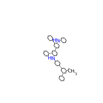 Cc1cc(-c2ccccc2)cc(-c2ccc(Nc3ccc(-c4ccc(Nc5ccccc5)c(-c5ccccc5)c4)cc3-c3ccccc3)cc2)c1